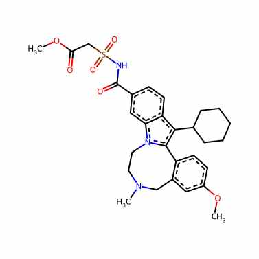 COC(=O)CS(=O)(=O)NC(=O)c1ccc2c(C3CCCCC3)c3n(c2c1)CCN(C)Cc1cc(OC)ccc1-3